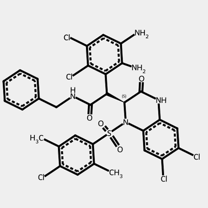 Cc1cc(S(=O)(=O)N2c3cc(Cl)c(Cl)cc3NC(=O)[C@@H]2C(C(=O)NCc2ccccc2)c2c(N)c(N)cc(Cl)c2Cl)c(C)cc1Cl